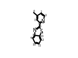 Cc1ccnc(-c2nc3ccccc3s2)c1